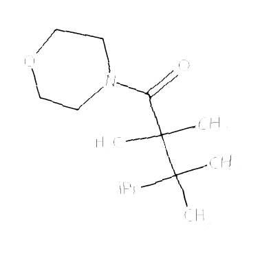 CC(C)C(C)(C)C(C)(C)C(=O)N1CCOCC1